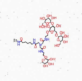 CCNC(=O)CCCCCNC(=O)CN(CC(=O)NCCO[C@@H]1O[C@@H](C)[C@@H](O)[C@H](O)[C@@H]1O)CC(=O)NCCO[C@H]1O[C@H](CO[C@H]2O[C@H](CO)[C@@H](O)[C@H](O)[C@@H]2O)[C@@H](O)[C@H](O[C@H]2O[C@H](CO)[C@@H](O)[C@H](O)[C@@H]2O)[C@@H]1O